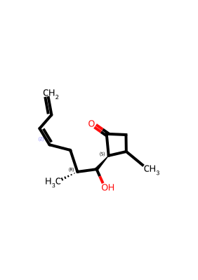 C=C/C=C\C[C@@H](C)C(O)[C@H]1C(=O)CC1C